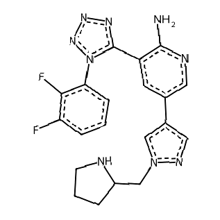 Nc1ncc(-c2cnn(CC3CCCN3)c2)cc1-c1nnnn1-c1cccc(F)c1F